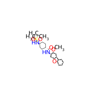 COc1cc2c(cc1NC(=O)[C@H]1CC[C@H](NS(=O)(=O)C(C)(C)C)CC1)oc1ccccc12